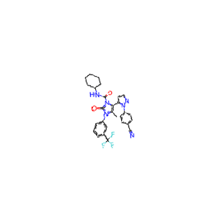 Cc1c(-c2ccnn2-c2ccc(C#N)cc2)n(C(=O)NC2CCCCC2)c(=O)n1-c1cccc(C(F)(F)F)c1